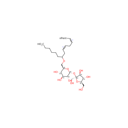 CCCCC/C=C\C/C=C\CC(CCCCCC(=O)O)OC[C@H]1O[C@H](O[C@]2(CO)O[C@H](CO)[C@@H](O)[C@@H]2O)[C@H](O)[C@@H](O)[C@@H]1O